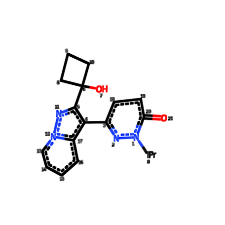 CC(C)n1nc(-c2c(C3(O)CCC3)nn3ccccc23)ccc1=O